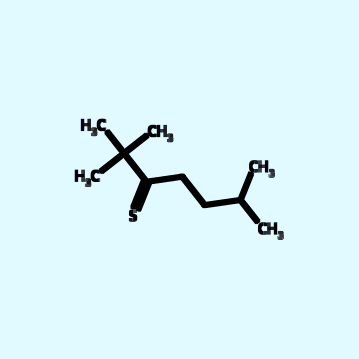 CC(C)CCC(=S)C(C)(C)C